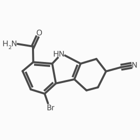 N#CC1CCc2c([nH]c3c(C(N)=O)ccc(Br)c23)C1